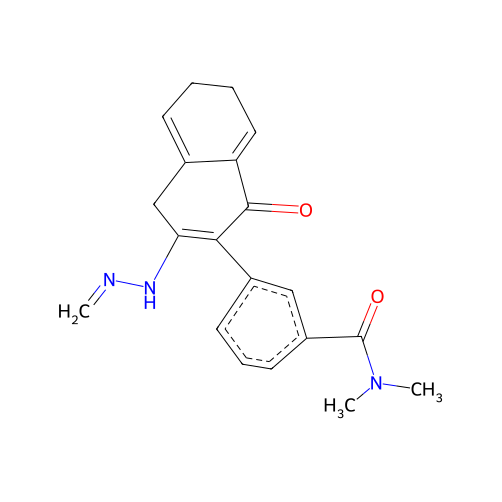 C=NNC1=C(c2cccc(C(=O)N(C)C)c2)C(=O)C2=CCCC=C2C1